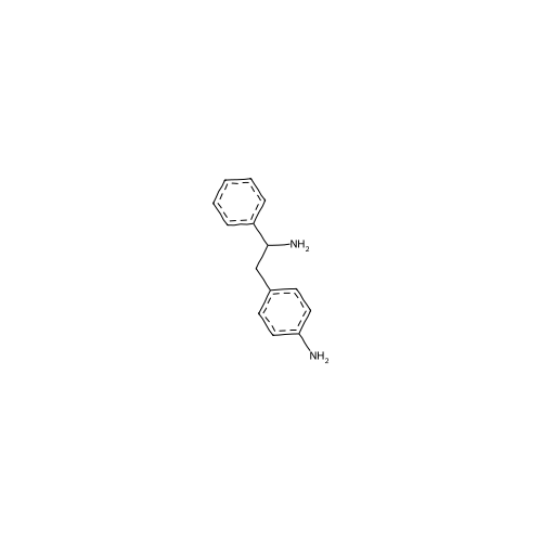 Nc1ccc(CC(N)c2ccccc2)cc1